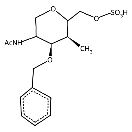 CC(=O)NC1COC(COS(=O)(=O)O)[C@@H](C)[C@H]1OCc1ccccc1